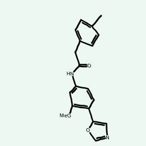 COc1cc(NC(=O)Cc2ccc(C)cc2)ccc1-c1cnco1